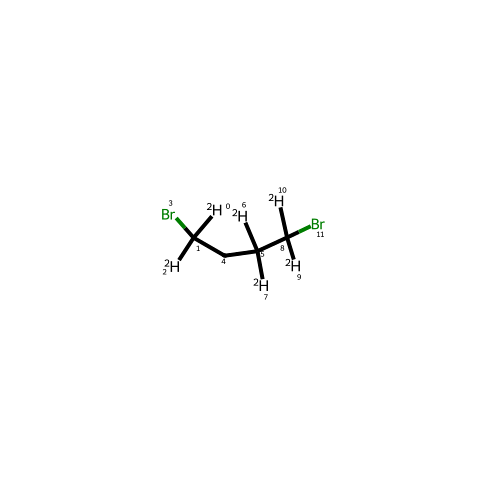 [2H]C([2H])(Br)CC([2H])([2H])C([2H])([2H])Br